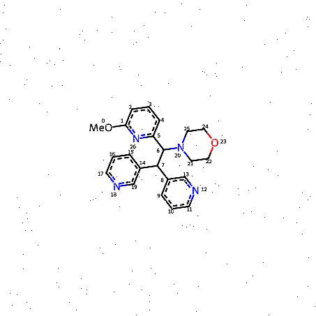 COc1cccc(C(C(c2cccnc2)c2cccnc2)N2CCOCC2)n1